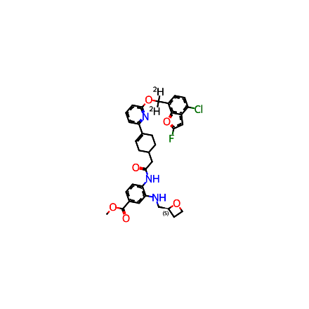 [2H]C([2H])(Oc1cccc(C2=CCC(CC(=O)Nc3ccc(C(=O)OC)cc3NC[C@@H]3CCO3)CC2)n1)c1ccc(Cl)c2cc(F)oc12